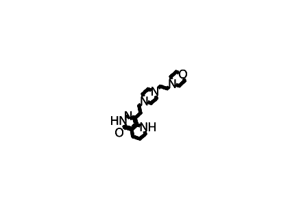 O=c1[nH]nc(CCN2CCN(CCN3CCOCC3)CC2)c2c1CCCN2